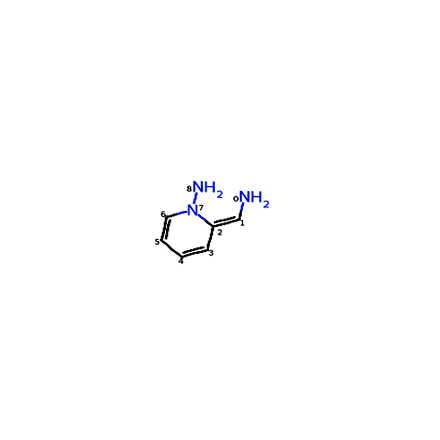 N/C=C1/C=CC=CN1N